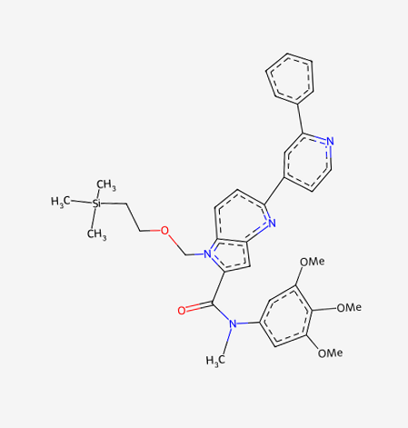 COc1cc(N(C)C(=O)c2cc3nc(-c4ccnc(-c5ccccc5)c4)ccc3n2COCC[Si](C)(C)C)cc(OC)c1OC